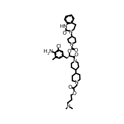 Cc1cc(C[C@@H](OC(=O)N2CCC(N3CCc4ccccc4NC3=O)CC2)C(=O)N2CCC(C3CCN(CC(=O)OCCCN(C)C)CC3)CC2)cc(Cl)c1N